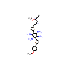 C=C/C=C(\C=C/Cc1ccc(-c2c(N)c(N)c(-c3ccc(-c4ccc(OC(F)(F)F)cc4)s3)c(N)c2N)s1)OC(F)(F)F